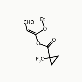 CCOC(=CC=O)OC(=O)C1(C(F)(F)F)CC1